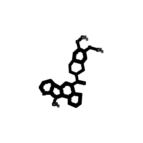 COc1cc2c(cc1OC)CN(C(=O)c1cc3c4cccnc4n(C)c3c3ccccc13)CC2